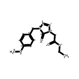 CCOC(=O)Cn1nnn(Cc2ccc(OC)cc2)c1=O